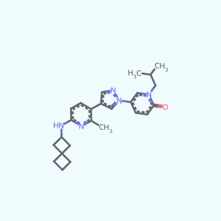 Cc1nc(NC2CC3(CCC3)C2)ccc1-c1cnn(-c2ccc(=O)n(CC(C)C)c2)c1